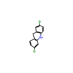 Brc1ccc2c(c1)Cc1ccc(Br)cc1N2